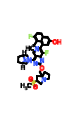 C#Cc1c(F)ccc2cc(O)cc(-c3ncc4c(N5C[C@H]6CC[C@@H](C5)N6)nc(OCC56CCCN5CC(S(C)(=O)=O)C6)nc4c3F)c12